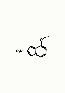 CCOc1nccn2cc([N+](=O)[O-])cc12